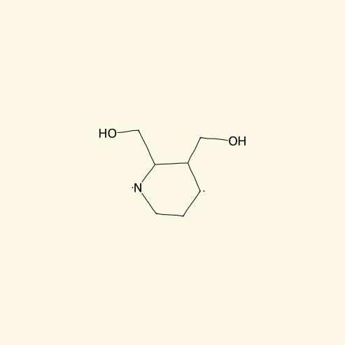 OCC1[CH]CC[N]C1CO